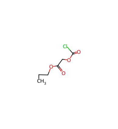 CCCOC(=O)COC(=O)Cl